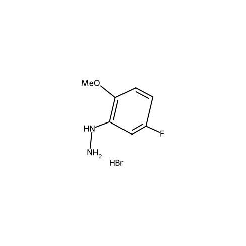 Br.COc1ccc(F)cc1NN